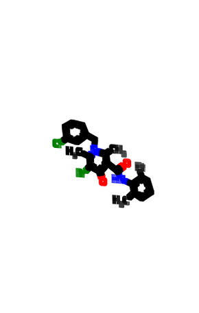 CCc1cccc(C)c1NC(=O)c1c(C)n(Cc2cccc(Cl)c2)c(C)c(Br)c1=O